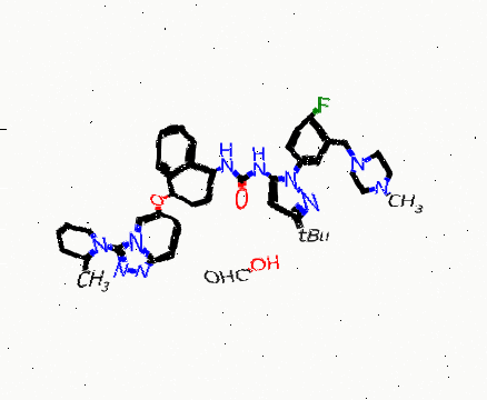 CC1CCCCN1c1nnc2ccc(O[C@@H]3CC[C@H](NC(=O)Nc4cc(C(C)(C)C)nn4-c4ccc(F)c(CN5CCN(C)CC5)c4)c4ccccc43)cn12.O=CO